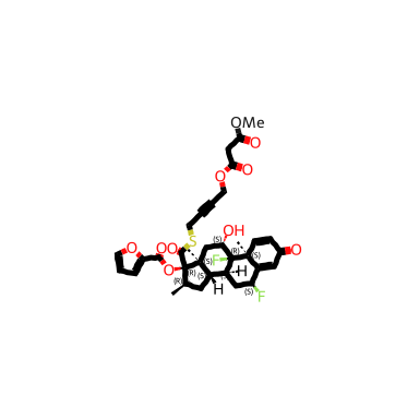 COC(=O)CC(=O)OCC#CCSC(=O)[C@@]1(OC(=O)c2ccco2)[C@H](C)C[C@H]2[C@@H]3C[C@H](F)C4=CC(=O)C=C[C@]4(C)[C@@]3(F)[C@@H](O)C[C@@]21C